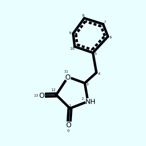 O=C1NC(Cc2ccccc2)OC1=O